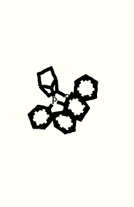 c1ccc(P(c2ccccc2)C2CC3CCC2C3P(c2ccccc2)c2ccccc2)cc1